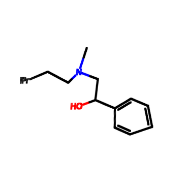 CC(C)CCN(C)CC(O)c1ccccc1